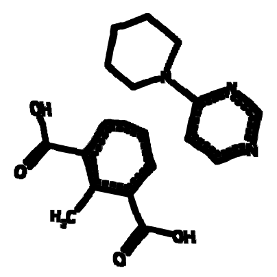 Cc1c(C(=O)O)cccc1C(=O)O.c1cc(N2CCCCC2)ncn1